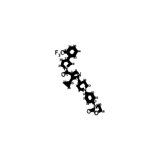 O=C(c1cnn(C2CCN(c3ccc(N4CCOC4=O)cc3)CC2)c1C1CC1)N1CCC(c2ccccc2C(F)(F)F)C1